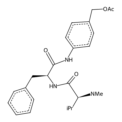 CN[C@H](C(=O)N[C@@H](Cc1ccccc1)C(=O)Nc1ccc(COC(C)=O)cc1)C(C)C